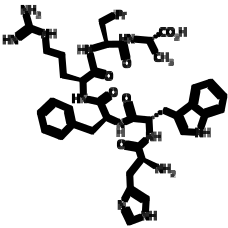 CC(C)C[C@H](NC(=O)[C@H](CCCNC(=N)N)NC(=O)[C@H](Cc1ccccc1)NC(=O)[C@H](Cc1c[nH]c2ccccc12)NC(=O)[C@@H](N)Cc1c[nH]cn1)C(=O)N[C@@H](C)C(=O)O